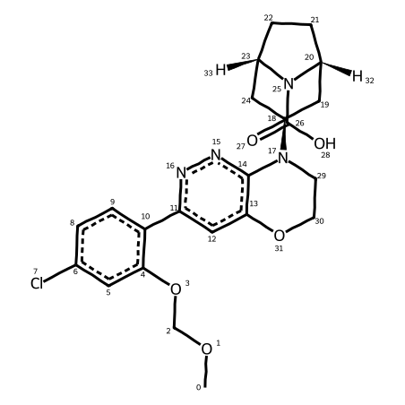 COCOc1cc(Cl)ccc1-c1cc2c(nn1)N([C@@H]1C[C@H]3CC[C@@H](C1)N3C(=O)O)CCO2